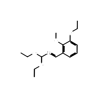 CCOc1cccc(C=NC(OCC)OCC)c1OC